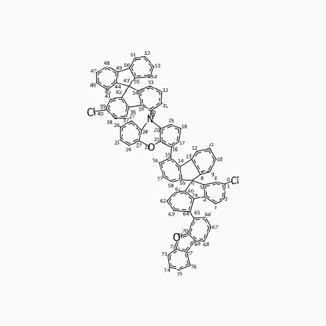 Clc1ccc2c(c1)C1(c3ccccc3-c3c(-c4cccc5c4Oc4ccccc4N5c4cccc5c4-c4ccc(Cl)cc4C54c5ccccc5-c5ccccc54)cccc31)c1cccc(-c3cccc4c3oc3ccccc34)c1-2